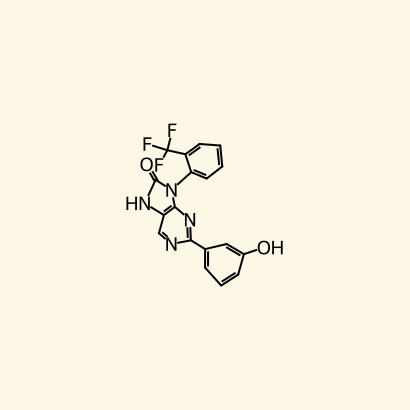 O=c1[nH]c2cnc(-c3cccc(O)c3)nc2n1-c1ccccc1C(F)(F)F